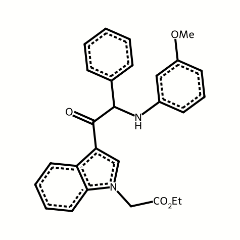 CCOC(=O)Cn1cc(C(=O)C(Nc2cccc(OC)c2)c2ccccc2)c2ccccc21